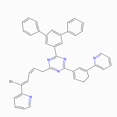 CC/C(=C\C=C/Cc1nc(C2=CCCC(c3ccccn3)=C2)nc(-c2cc(-c3ccccc3)cc(-c3ccccc3)c2)n1)c1ccccn1